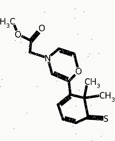 COC(=O)CN1C=COC(C2=CC=CC(=S)C2(C)C)=C1